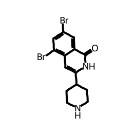 O=c1[nH]c(C2CCNCC2)cc2c(Br)cc(Br)cc12